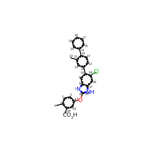 Cc1ccc(Oc2nc3cc(-c4ccc(-c5ccccc5)c(C)c4)c(Cl)cc3[nH]2)cc1C(=O)O